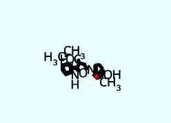 CC(C)Oc1cccc2[nH]cc(C(C)CC(=O)N3C4CC5CC3CC(C)(C4)C5O)c12